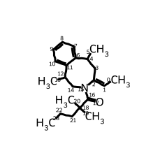 C/C=C1\CC(C)c2ccccc2C(C)CN1C(=O)C(C)(C)CCC